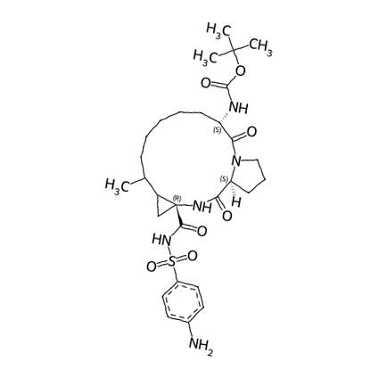 CC1CCCCC[C@H](NC(=O)OC(C)(C)C)C(=O)N2CCC[C@H]2C(=O)N[C@]2(C(=O)NS(=O)(=O)c3ccc(N)cc3)CC12